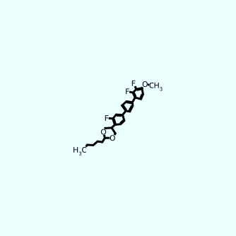 CCCCCC1OCC(c2ccc(-c3ccc(-c4ccc(OC)c(F)c4F)cc3)cc2F)CO1